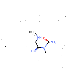 CN(C(=N)CNC(=O)O)C(N)=O